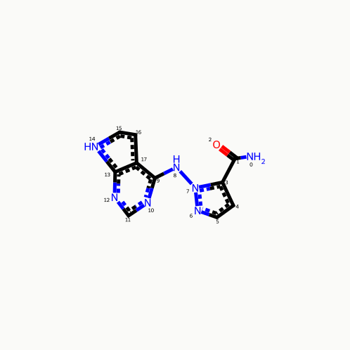 NC(=O)c1ccnn1Nc1ncnc2[nH]ccc12